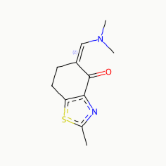 Cc1nc2c(s1)CC/C(=C/N(C)C)C2=O